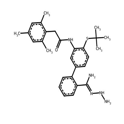 Cc1cc(C)c(CC(=O)Nc2cc(-c3ccccc3/C(N)=N/NN)ccc2SC(C)(C)C)c(C)c1